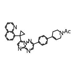 CC(=O)N1CC=C(c2ccc(-c3cnc4ncc(C5(c6cccc7cccnc67)CC5)n4n3)cc2)CC1